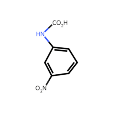 O=C(O)Nc1cccc([N+](=O)[O-])c1